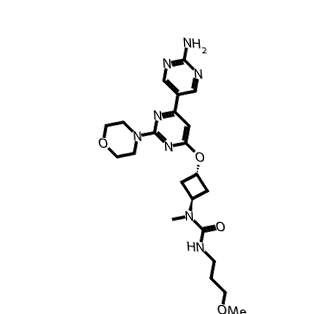 COCCCNC(=O)N(C)[C@H]1C[C@H](Oc2cc(-c3cnc(N)nc3)nc(N3CCOCC3)n2)C1